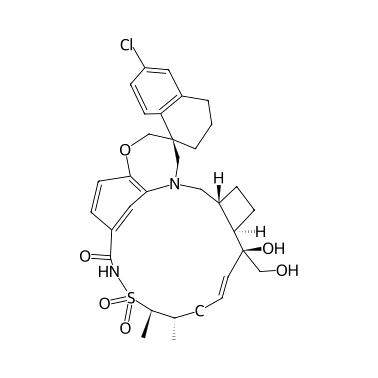 C[C@@H]1[C@@H](C)C/C=C/[C@@](O)(CO)[C@@H]2CC[C@H]2CN2C[C@@]3(CCCc4cc(Cl)ccc43)COc3ccc(cc32)C(=O)NS1(=O)=O